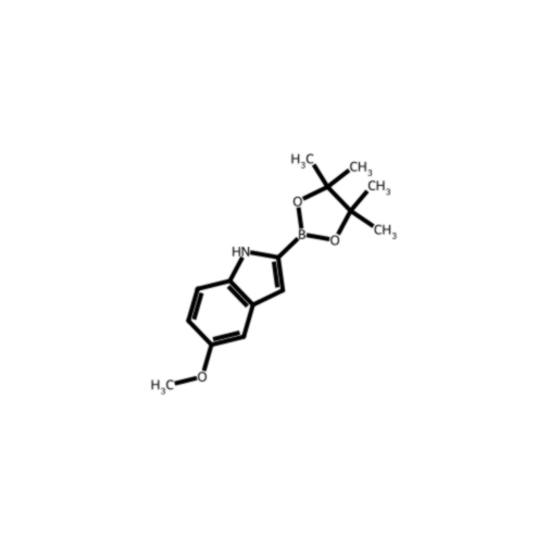 COc1ccc2[nH]c(B3OC(C)(C)C(C)(C)O3)cc2c1